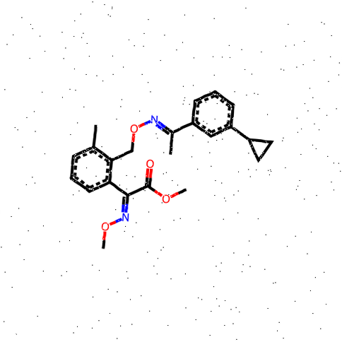 CO/N=C(/C(=O)OC)c1cccc(C)c1CO/N=C(\C)c1cccc(C2CC2)c1